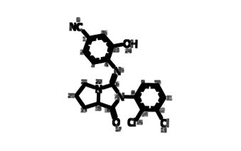 N#Cc1ccc(N=C2N(c3cccc(Cl)c3Cl)C(=O)C3CCCN23)c(O)c1